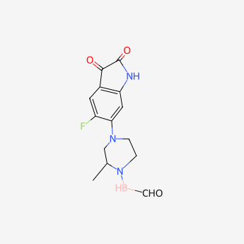 CC1CN(c2cc3c(cc2F)C(=O)C(=O)N3)CCN1BC=O